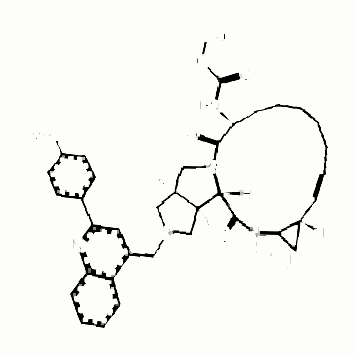 COc1ccc(-c2cc(CN3C[C@H]4CN5C(=O)[C@@H](NC(=O)OC(C)(C)C)CCCCC/C=C\[C@@H]6C[C@@]6(C(=O)O)NC(=O)[C@@H]5[C@H]4C3)c3ccccc3n2)cc1